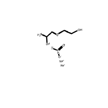 NC(O)COCCO.O=[PH]([O-])[O-].[Na+].[Na+]